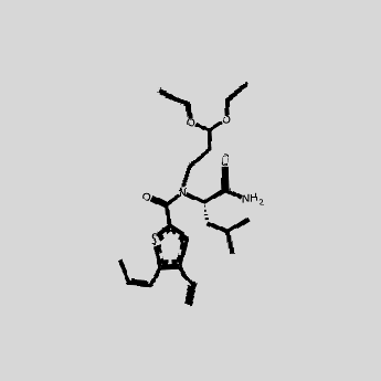 C=Cc1cc(C(=O)N(CCC(OCC)OCC)[C@@H](CC(C)C)C(N)=O)sc1/C=C\C